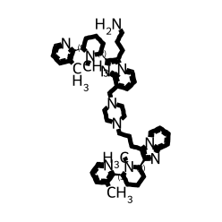 Cc1cccnc1[C@@H]1CCC[C@H](c2nc3ccccn3c2CCCN2CCN(Cc3cccn4c(CCCN)c([C@H]5CCC[C@@H](c6ncccc6C)N5C)nc34)CC2)N1C